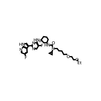 CCOCCOCCCCCN(C(=O)N[C@H]1CCC[C@@H](Nc2nc(-c3c[nH]c4ncc(F)cc34)ncc2F)C1)C1CC1